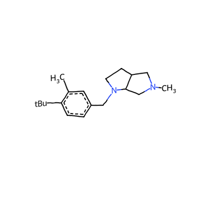 Cc1cc(CN2CCC3CN(C)CC32)ccc1C(C)(C)C